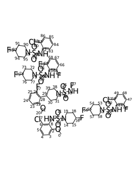 COc1cccc(Cl)c1NS(=O)(=O)N1CCC(F)CC1.COc1cccc(F)c1C1CCN(S(=O)(=O)NF)CC1.O=S(=O)(Nc1c(F)cccc1Cl)N1CCC(F)CC1.O=S(=O)(Nc1c(F)cccc1F)N1CCC(F)CC1.O=S(=O)(Nc1ccccc1Cl)N1CCC(F)CC1